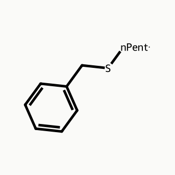 CCCC[CH]SCc1ccccc1